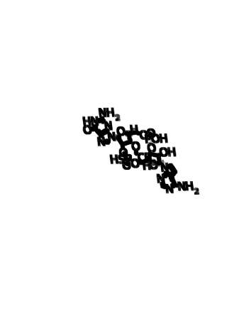 Nc1nc2c(ncn2[C@@H]2O[C@@H]3COP(=O)(O)OC4C(O)[C@H](n5ccc6c(N)ncnc65)O[C@@H]4COP(=O)(S)OC2C3OCC(F)(F)F)c(=O)[nH]1